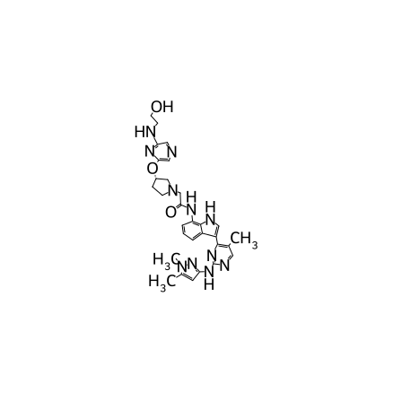 Cc1cnc(Nc2cc(C)n(C)n2)nc1-c1c[nH]c2c(NC(=O)CN3CC[C@H](Oc4cncc(NCCO)n4)C3)cccc12